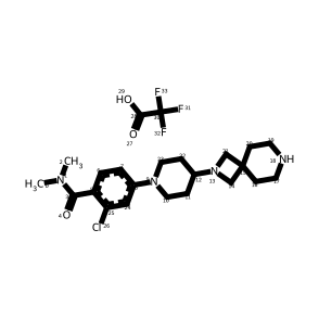 CN(C)C(=O)c1ccc(N2CCC(N3CC4(CCNCC4)C3)CC2)cc1Cl.O=C(O)C(F)(F)F